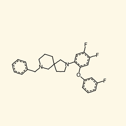 Fc1cccc(Oc2cc(F)c(F)cc2N2CCC3(CCCN(Cc4ccccc4)C3)C2)c1